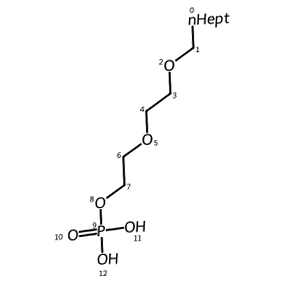 CCCCCCCCOCCOCCOP(=O)(O)O